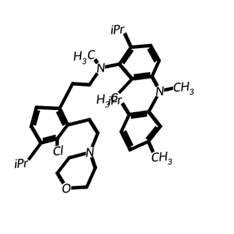 Cc1ccc(C(C)C)c(N(C)c2ccc(C(C)C)c(N(C)CCc3ccc(C(C)C)c(Cl)c3CCN3CCOCC3)c2C)c1